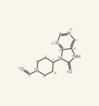 O=CN1CCC(n2c(=O)[nH]c3cncnc32)CC1